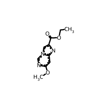 CCOC(=O)c1cn2cnc(OC)cc2n1